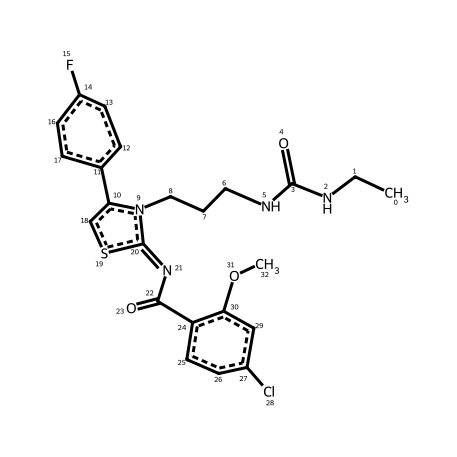 CCNC(=O)NCCCn1c(-c2ccc(F)cc2)cs/c1=N\C(=O)c1ccc(Cl)cc1OC